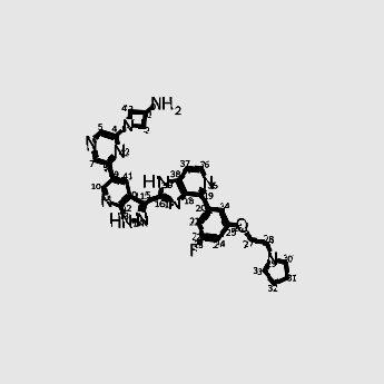 NC1CN(c2cncc(-c3cnc4[nH]nc(-c5nc6c(-c7cc(F)cc(OCCN8CCCC8)c7)nccc6[nH]5)c4c3)n2)C1